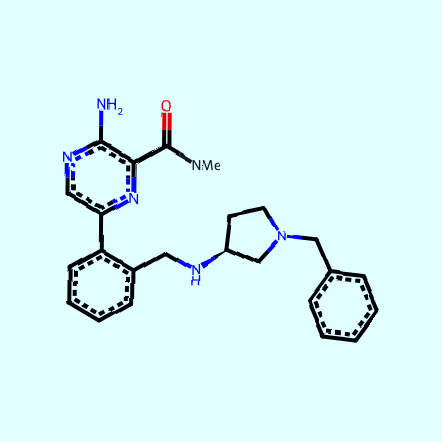 CNC(=O)c1nc(-c2ccccc2CN[C@H]2CCN(Cc3ccccc3)C2)cnc1N